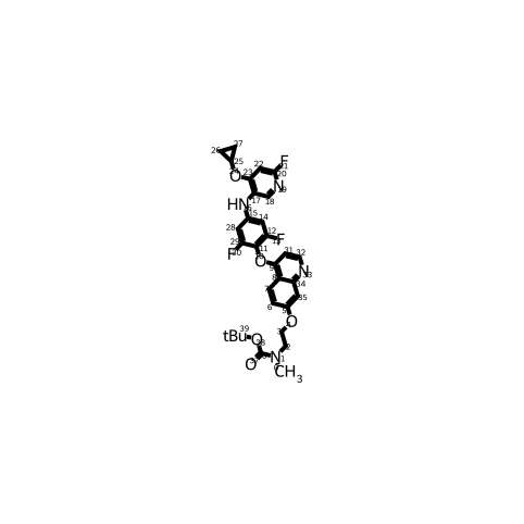 CN(CCOc1ccc2c(Oc3c(F)cc(Nc4cnc(F)cc4OC4CC4)cc3F)ccnc2c1)C(=O)OC(C)(C)C